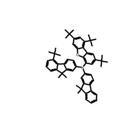 CC(C)(C)c1cc(C(C)(C)C)c2c(c1)oc1c(N(c3ccc4c(c3)C(C)(C)c3ccccc3-4)c3ccc4c(c3)C(C)(C)c3cccc(C(C)(C)C)c3-4)cc(C(C)(C)C)cc12